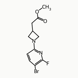 COC(=O)CC1CN(c2ccc(Br)c(F)n2)C1